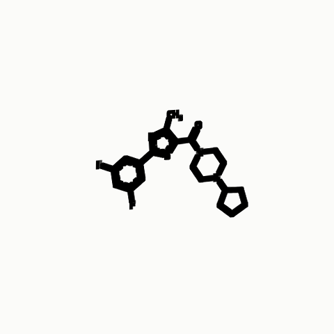 Cc1nc(-c2cc(F)cc(F)c2)sc1C(=O)N1CCN(C2CCCC2)CC1